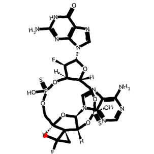 Nc1nc2c(ncn2[C@@H]2O[C@@H]3CO[P@@](O)(=S)O[C@H]4[C@H](n5cnc6c(N)ncnc65)O[C@H](COP(O)(=S)O[C@H]3[C@H]2F)[C@]42CC2(F)F)c(=O)[nH]1